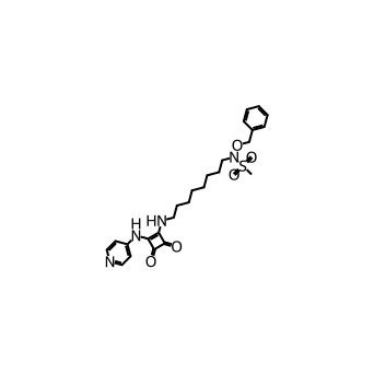 CS(=O)(=O)N(CCCCCCCCNc1c(Nc2ccncc2)c(=O)c1=O)OCc1ccccc1